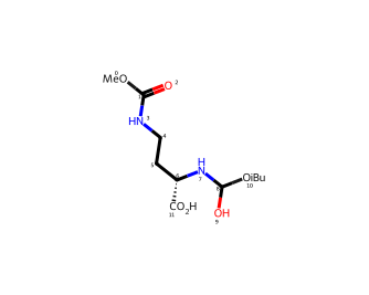 COC(=O)NCC[C@H](NC(O)OCC(C)C)C(=O)O